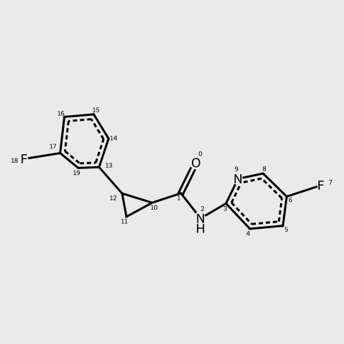 O=C(Nc1ccc(F)cn1)C1CC1c1cccc(F)c1